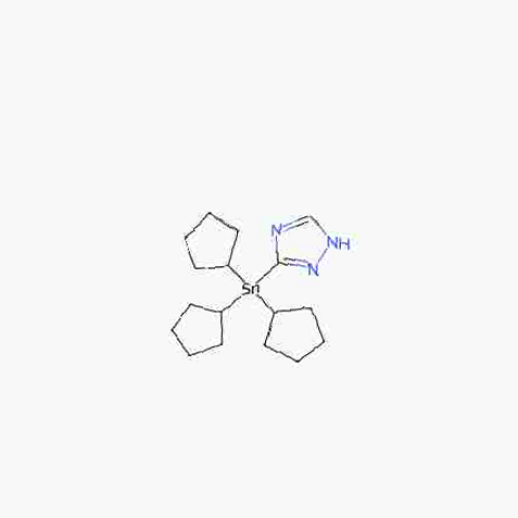 c1n[c]([Sn]([CH]2CCCC2)([CH]2CCCC2)[CH]2CCCC2)n[nH]1